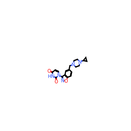 O=c1ccn(-c2noc3ccc(CN4CCN(C5CC5)CC4)cc23)c(=O)[nH]1